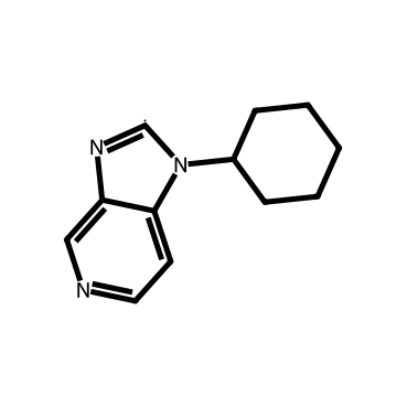 [c]1nc2cnccc2n1C1CCCCC1